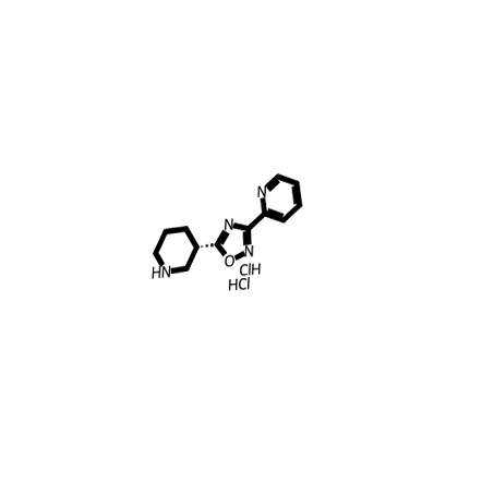 Cl.Cl.c1ccc(-c2noc([C@H]3CCCNC3)n2)nc1